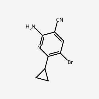 N#Cc1cc(Br)c(C2CC2)nc1N